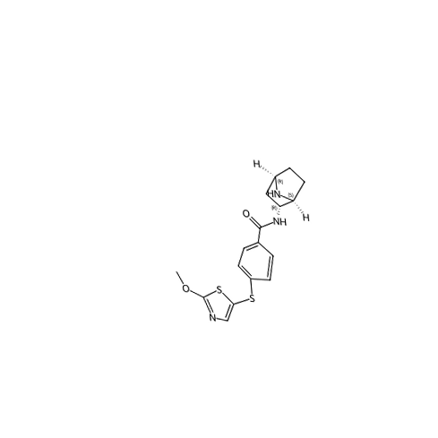 COc1ncc(Sc2ccc(C(=O)N[C@@H]3C[C@H]4CC[C@@H]3N4)cc2)s1